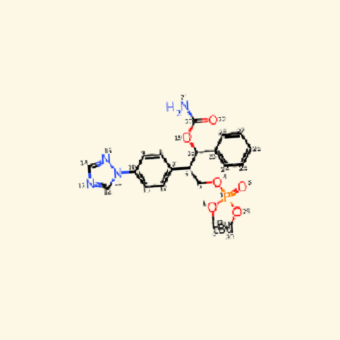 CC(C)(C)OP(=O)(OC[C@@H](c1ccc(-n2cncn2)cc1)C(OC(N)=O)c1ccccc1)OC(C)(C)C